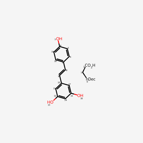 CCCCCCCCCCCC(=O)O.Oc1ccc(C=Cc2cc(O)cc(O)c2)cc1